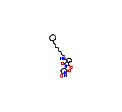 O=C1CCC(N2C(=O)c3cccc(NCCCCCCCCC4CCCCCC4)c3C2=O)C(=O)N1